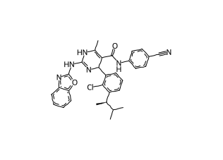 CC1=C(C(=O)Nc2ccc(C#N)cc2)C(c2cccc([C@H](C)C(C)C)c2Cl)N=C(Nc2nc3ccccc3o2)N1